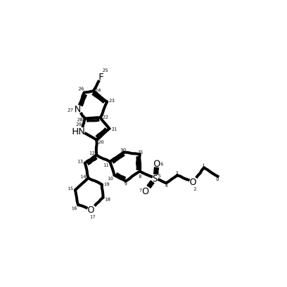 CCOCCS(=O)(=O)c1ccc(C(=CC2CCOCC2)c2cc3cc(F)cnc3[nH]2)cc1